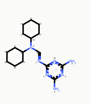 Nc1nc(N)nc(N=CN(C2CCCCC2)C2CCCCC2)n1